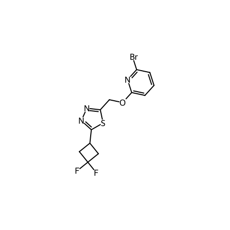 FC1(F)CC(c2nnc(COc3cccc(Br)n3)s2)C1